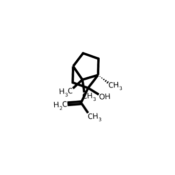 C=C(C)C1(O)CC2CC[C@]1(C)C2(C)C